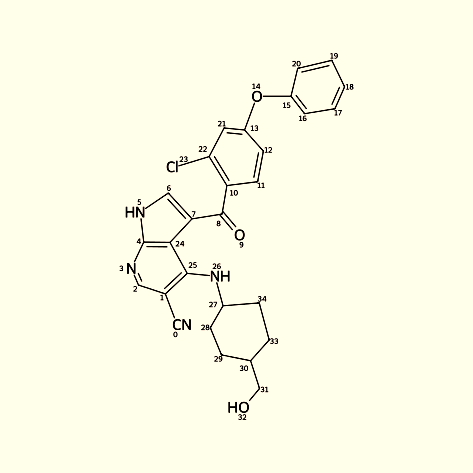 N#Cc1cnc2[nH]cc(C(=O)c3ccc(Oc4ccccc4)cc3Cl)c2c1NC1CCC(CO)CC1